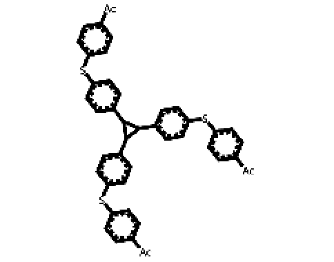 CC(=O)c1ccc(Sc2ccc(C3C(c4ccc(Sc5ccc(C(C)=O)cc5)cc4)C3c3ccc(Sc4ccc(C(C)=O)cc4)cc3)cc2)cc1